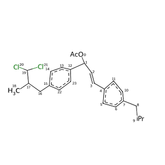 CC(=O)OC(/C=C/c1ccc(CC(C)C)cc1)c1ccc(CC(C)C(Cl)Cl)cc1